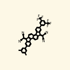 Cc1cc(C)cc(-c2ccc3c(c2)C(=C(C#N)C#N)c2ccc4c5c(ccc4c2-3)C(=C(C#N)C#N)c2cc(-c3cc(C(F)(F)F)cc(C(F)(F)F)c3)ccc2-5)c1